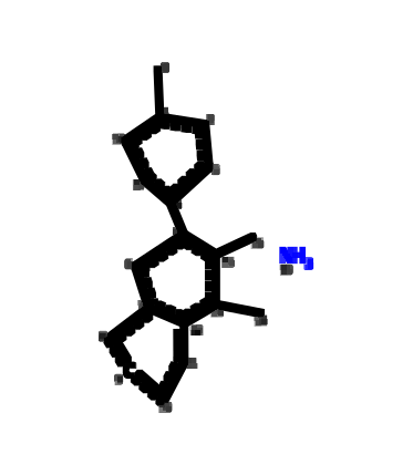 Cc1ccc(-c2cc3ccccc3c(C)c2C)cc1.N